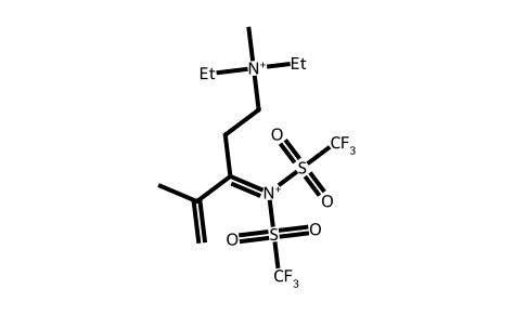 C=C(C)C(CC[N+](C)(CC)CC)=[N+](S(=O)(=O)C(F)(F)F)S(=O)(=O)C(F)(F)F